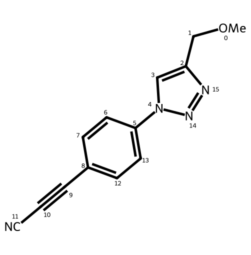 COCc1cn(-c2ccc(C#CC#N)cc2)nn1